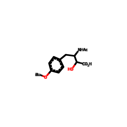 CCC(C)Oc1ccc(CC(NC(C)=O)C(O)C(=O)O)cc1